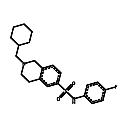 O=S(=O)(Nc1ccc(F)cc1)c1ccc2c(c1)CCN(CC1CCCCC1)C2